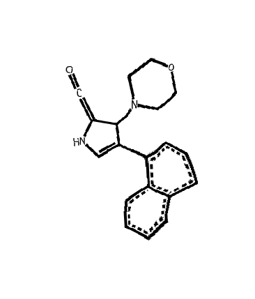 O=C=C1NC=C(c2cccc3ccccc23)C1N1CCOCC1